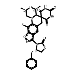 C[C@@H]1CN2c3c(cc4c(N5C(=O)SC[C@@H]5Cc5ccccc5)noc4c3F)CC3(C(=O)NC(=O)NC3=O)C2[C@H](C)O1